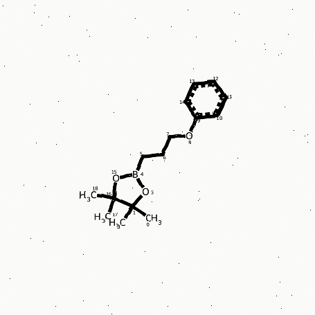 CC1(C)OB(CCCOc2ccccc2)OC1(C)C